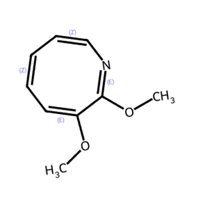 COC1=C/C=C\C=C/N=C\1OC